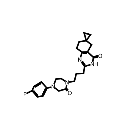 O=C1CN(c2ccc(F)cc2)CCN1CCCc1nc2c(c(=O)[nH]1)CC1(CC2)CC1